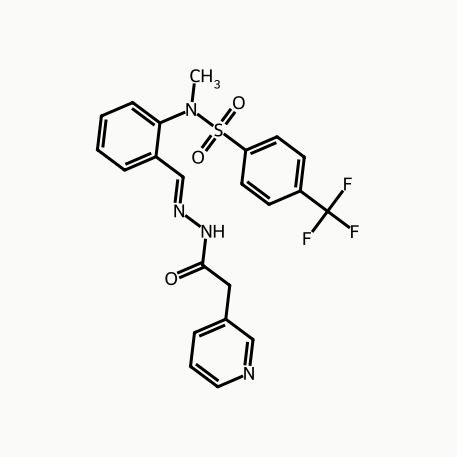 CN(c1ccccc1C=NNC(=O)Cc1cccnc1)S(=O)(=O)c1ccc(C(F)(F)F)cc1